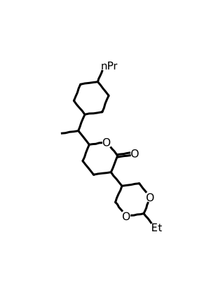 CCCC1CCC(C(C)C2CCC(C3COC(CC)OC3)C(=O)O2)CC1